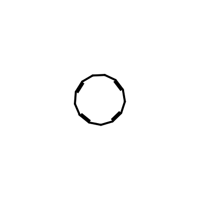 [C]1=CCC=CCC=CCCC=CC1